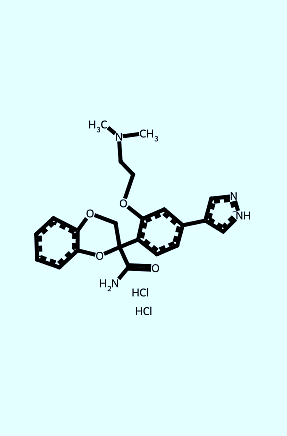 CN(C)CCOc1cc(-c2cn[nH]c2)ccc1C1(C(N)=O)COc2ccccc2O1.Cl.Cl